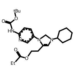 CCC(=O)OCCC1=CN(C2CCCCC2)CN1c1ccc(NC(=O)OC(C)(C)C)nc1